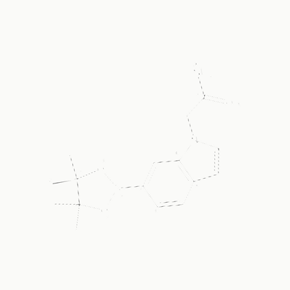 CC1(C)OB(c2ccc3ccn(CC(N)=O)c3c2)OC1(C)C